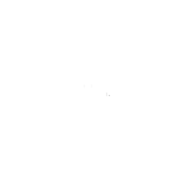 N=CN.O=[PH2]O